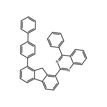 c1ccc(-c2ccc(-c3cccc4c3Cc3c(-c5nc(-c6ccccc6)c6ccccc6n5)cccc3-4)cc2)cc1